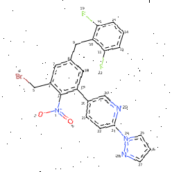 O=[N+]([O-])c1c(CBr)[c]c(Cc2c(F)cccc2F)cc1-c1ccc(-n2cccn2)nc1